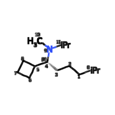 CC(C)CCC[C@H](C1CCC1)N(C)C(C)C